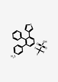 O=S(=O)(O)C(F)(F)F.S.c1ccc(-c2cccc(-c3ccsc3)c2-c2ccccc2)cc1